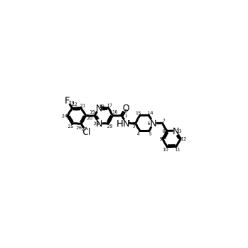 O=C(NC1CCN(Cc2ccccn2)CC1)c1cnc(-c2cc(F)ccc2Cl)nc1